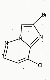 Clc1ccnn2cc(Br)nc12